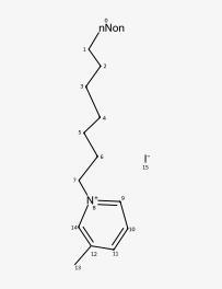 CCCCCCCCCCCCCCCC[n+]1cccc(C)c1.[I-]